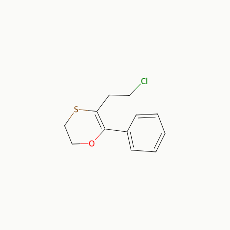 ClCCC1=C(c2ccccc2)OCCS1